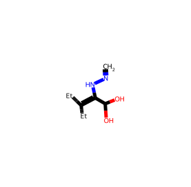 C=NNC(=C(CC)CC)C(O)O